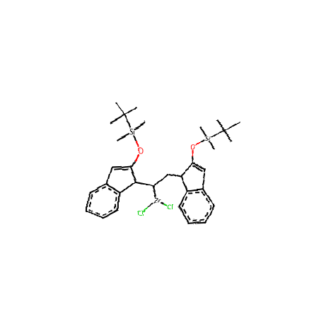 CC(C)(C)[Si](C)(C)OC1=Cc2ccccc2C1C[CH](C1C(O[Si](C)(C)C(C)(C)C)=Cc2ccccc21)[Zr]([Cl])[Cl]